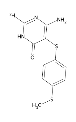 [2H]c1nc(N)c(Sc2ccc(SC)cc2)c(=O)[nH]1